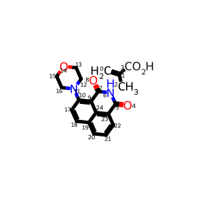 C=C(C)C(=O)O.O=C1NC(=O)c2c(N3CCOCC3)ccc3cccc1c23